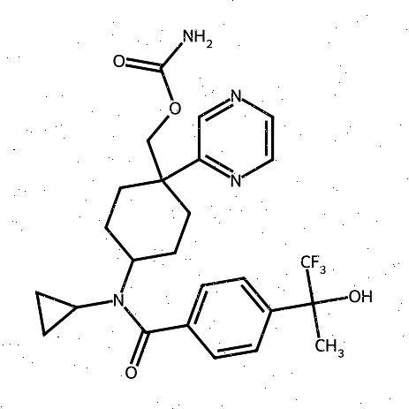 CC(O)(c1ccc(C(=O)N(C2CC2)C2CCC(COC(N)=O)(c3cnccn3)CC2)cc1)C(F)(F)F